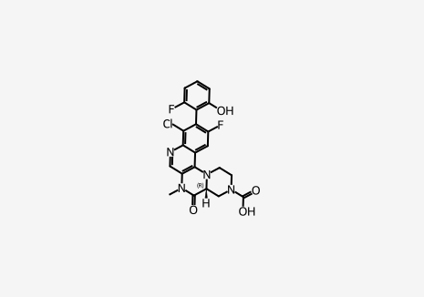 CN1C(=O)[C@H]2CN(C(=O)O)CCN2c2c1cnc1c(Cl)c(-c3c(O)cccc3F)c(F)cc21